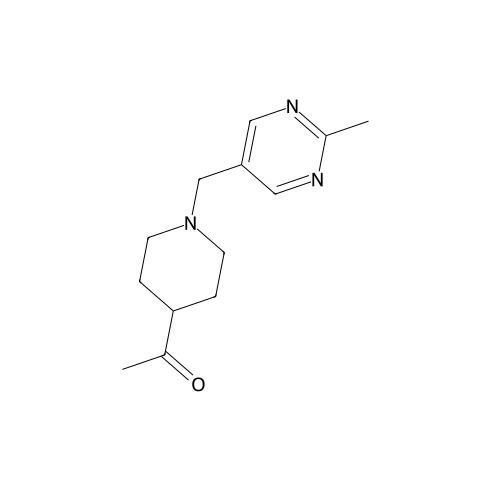 CC(=O)C1CCN(Cc2cnc(C)nc2)CC1